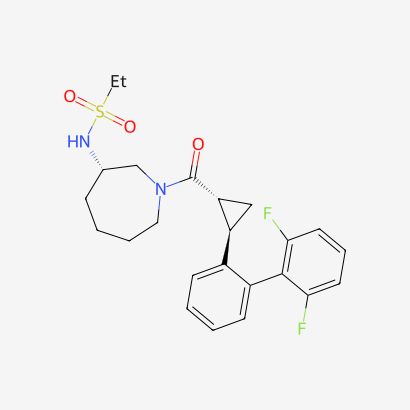 CCS(=O)(=O)N[C@H]1CCCCN(C(=O)[C@@H]2C[C@H]2c2ccccc2-c2c(F)cccc2F)C1